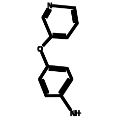 [NH]c1ccc(Oc2cccnc2)cc1